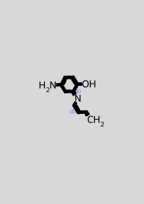 C=C/C=C\N=C1/CC(N)=CC=C1O